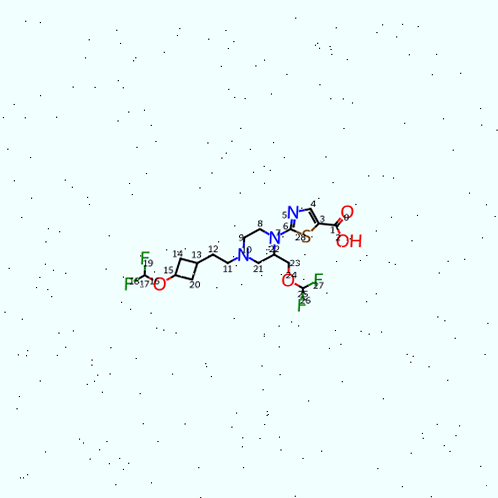 O=C(O)c1cnc(N2CCN(CCC3CC(OC(F)F)C3)CC2COC(F)F)s1